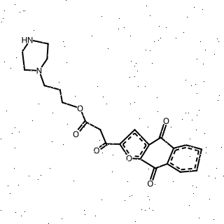 O=C(CC(=O)c1cc2c(o1)C(=O)c1ccccc1C2=O)OCCCN1CCNCC1